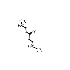 CNCCC(=O)CCNC